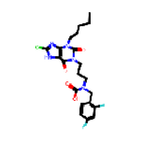 CCCCCn1c(=O)n(CCCN(Cc2ccc(F)cc2F)C(=O)O)c(=O)c2[nH]c(Cl)nc21